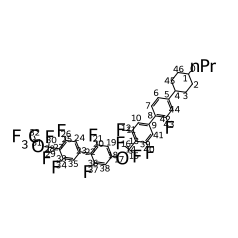 CCCC1CCC(c2ccc(-c3cc(F)c(C(F)(F)Oc4cc(F)c(-c5cc(F)c(C(F)(F)OC(F)(F)F)c(F)c5)c(F)c4)c(F)c3)c(F)c2)CC1